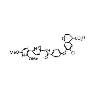 COc1ccc(-c2ccc(NC(=O)c3ccc(Oc4cc5c(cc4Cl)C(C(=O)O)CCO5)cc3)nn2)c(OC)n1